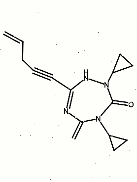 C=CCC#CC1=NC(=C)N(C2CC2)C(=O)N(C2CC2)N1